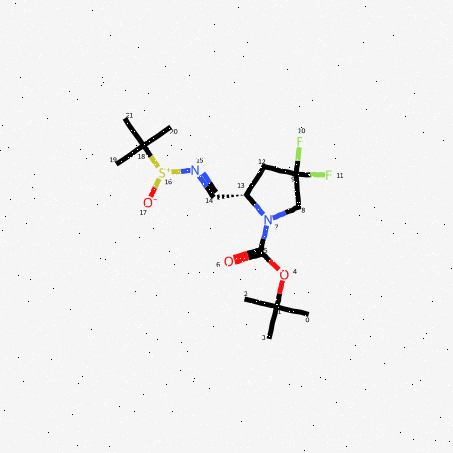 CC(C)(C)OC(=O)N1CC(F)(F)C[C@H]1/C=N/[S+]([O-])C(C)(C)C